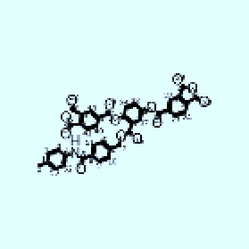 Cc1ccc(NC(=O)c2ccc(COC(=O)c3cc(OC(=O)c4ccc5c(c4)C(=O)OC5=O)ccc3OC(=O)c3ccc4c(c3)C(=O)OC4=O)cc2)cc1